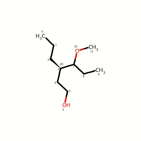 CCC[C@H](CCO)C(CC)OC